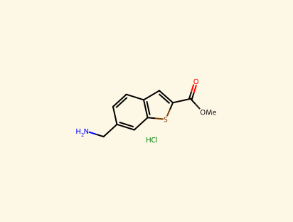 COC(=O)c1cc2ccc(CN)cc2s1.Cl